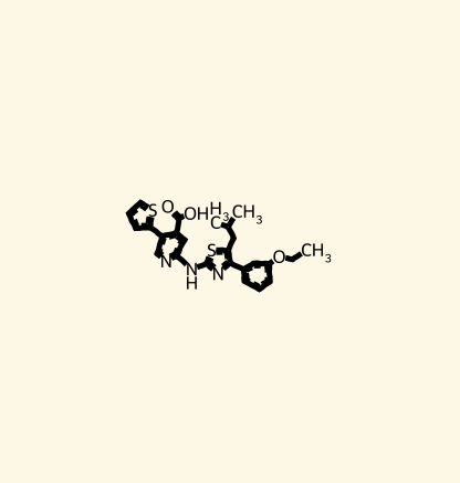 CCOc1cccc(-c2nc(Nc3cc(C(=O)O)c(-c4cccs4)cn3)sc2CC(C)C)c1